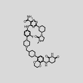 CN1CCN([C@@H]2CCCN(c3nnc(C(N)=O)c(Nc4ccc(N5CCN(CC6CCN(c7ccc(NC8CCC(=O)NC8=O)c8c7OCCO8)CC6)CC5)c(F)c4)n3)C2)C1=O